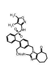 CCCc1nc2c(n1Cc1ccc(-c3ccccc3S(=O)(=O)Nc3noc(C)c3C)c(CC#N)c1)C(=O)CCCC2